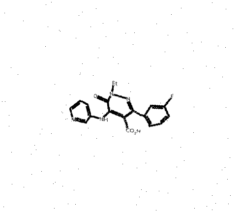 CCn1nc(-c2cccc(F)c2)c(C(=O)O)c(Nc2cccnc2)c1=O